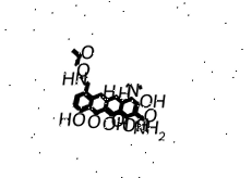 CC(=O)CONCc1ccc(O)c2c1C[C@H]1C[C@H]3[C@H](N(C)C)C(O)=C(C(N)=O)C4(O)O[C@]34C(O)=C1C2=O